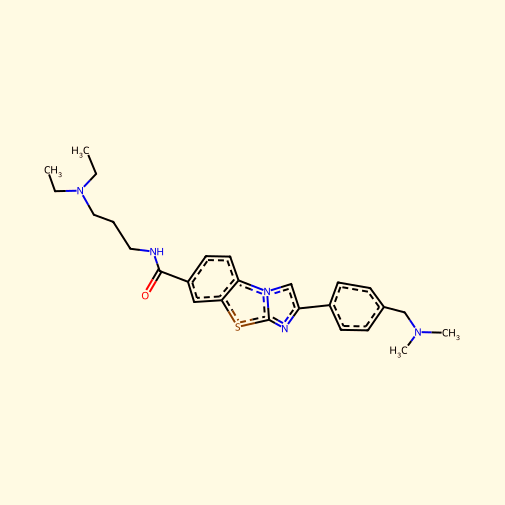 CCN(CC)CCCNC(=O)c1ccc2c(c1)sc1nc(-c3ccc(CN(C)C)cc3)cn12